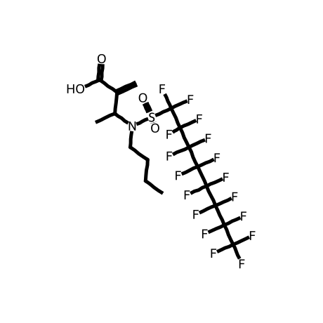 C=C(C(=O)O)C(C)N(CCCC)S(=O)(=O)C(F)(F)C(F)(F)C(F)(F)C(F)(F)C(F)(F)C(F)(F)C(F)(F)C(F)(F)F